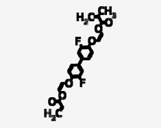 C=CC(=O)O/C=C\Oc1ccc(-c2ccc(O/C=C\OC(=O)C(=C)C)c(F)c2)cc1F